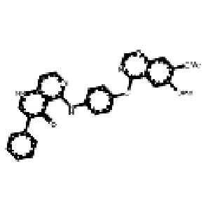 COc1cc2ncnc(Oc3ccc(Nc4nccc5[nH]cc(-c6ccccc6)c(=O)c45)cc3)c2cc1OC